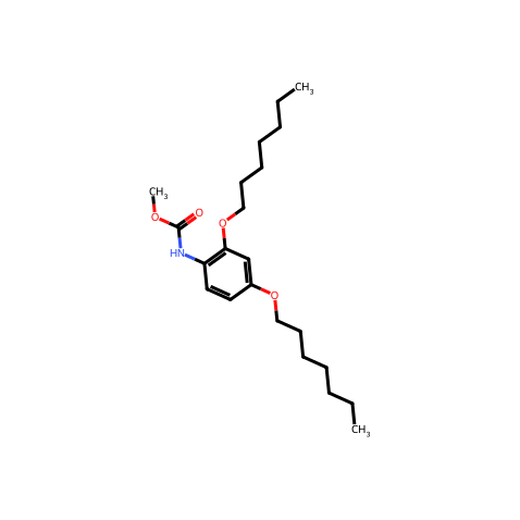 CCCCCCCOc1ccc(NC(=O)OC)c(OCCCCCCC)c1